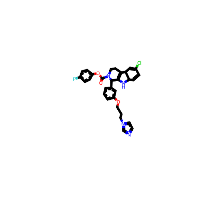 O=C(Oc1ccc(F)cc1)N1CCC2=C(NC3C=CC(Cl)=CC23)C1c1cccc(OCCCn2ccnc2)c1